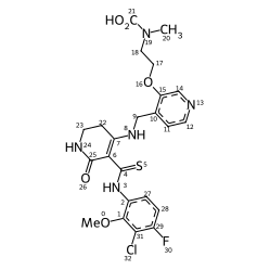 COc1c(NC(=S)C2=C(NCc3ccncc3OCCN(C)C(=O)O)CCNC2=O)ccc(F)c1Cl